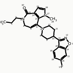 CCCN1CC=C(N2CCC(c3noc4cc(F)ccc34)CC2)c2c(ccn2C)C1=O